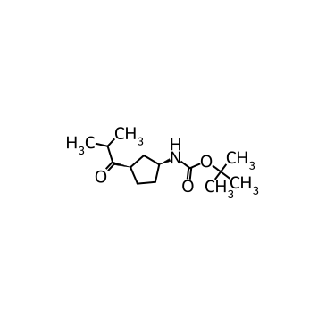 CC(C)C(=O)[C@@H]1CC[C@H](NC(=O)OC(C)(C)C)C1